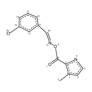 Cn1ccnc1C(=O)ON=Cc1cccc(Cl)c1